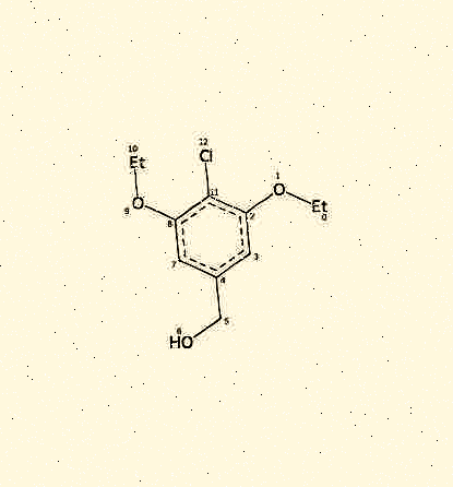 CCOc1cc(CO)cc(OCC)c1Cl